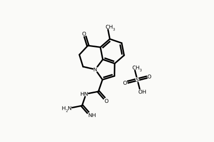 CS(=O)(=O)O.Cc1ccc2cc(C(=O)NC(=N)N)n3c2c1C(=O)CC3